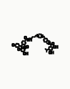 CC(C)c1cc(C(=O)N2Cc3ccc(CN4CCN(CCCCCNC(=O)c5ccc(-c6c7ccc(=O)cc-7oc7cc(O)ccc67)c(C(=O)O)c5)CC4)cc3C2)c(O)cc1O